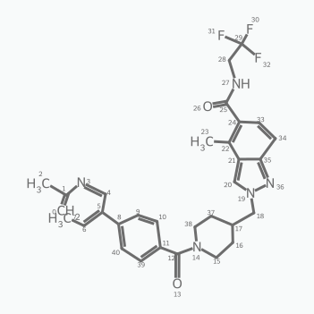 C=C(C)/N=C\C(=C/C)c1ccc(C(=O)N2CCC(Cn3cc4c(C)c(C(=O)NCC(F)(F)F)ccc4n3)CC2)cc1